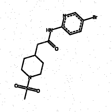 CS(=O)(=O)N1CCC(CC(=O)Nc2ccc(Br)cn2)CC1